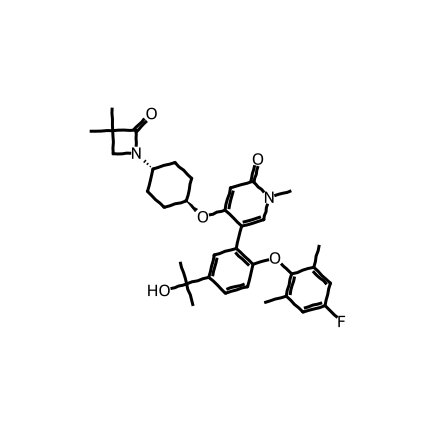 Cc1cc(F)cc(C)c1Oc1ccc(C(C)(C)O)cc1-c1cn(C)c(=O)cc1O[C@H]1CC[C@H](N2CC(C)(C)C2=O)CC1